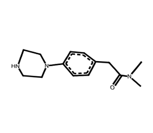 CN(C)C(=O)Cc1ccc(N2CCNCC2)cc1